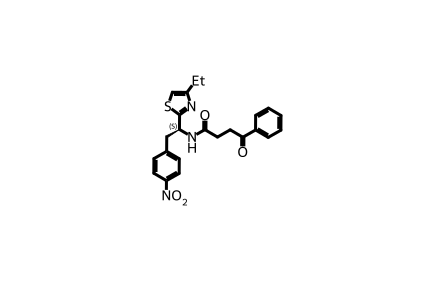 CCc1csc([C@H](Cc2ccc([N+](=O)[O-])cc2)NC(=O)CCC(=O)c2ccccc2)n1